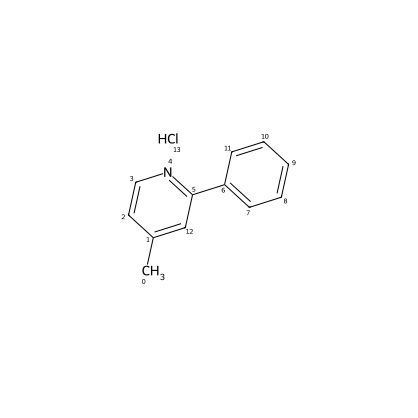 Cc1ccnc(-c2ccccc2)c1.Cl